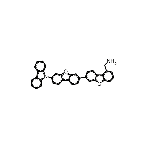 NCc1cccc2oc3cc(-c4ccc5c(c4)oc4cc(-n6c7ccccc7c7ccccc76)ccc45)ccc3c12